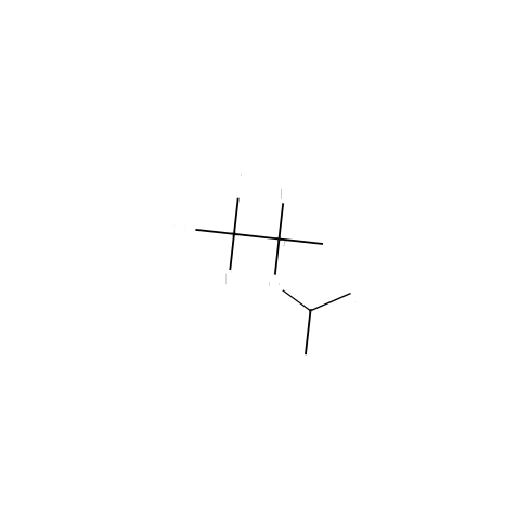 CC(C)OC(C)(F)C(F)(F)F